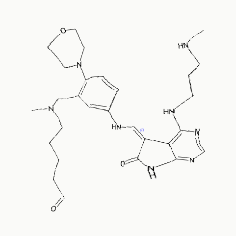 CNCCCNc1ncnc2c1/C(=C/Nc1ccc(N3CCOCC3)c(CN(C)CCCCC=O)c1)C(=O)N2